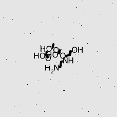 CC(=O)O.CC(=O)O.CC(=O)O.NCCNCC=CO